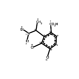 CCN(CC)C(C)c1c(C(=O)O)ccc(Cl)c1Cl